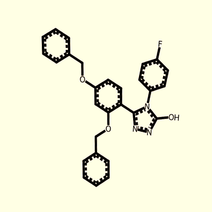 Oc1nnc(-c2ccc(OCc3ccccc3)cc2OCc2ccccc2)n1-c1ccc(F)cc1